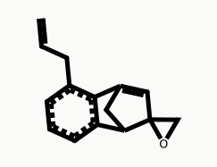 C=CCc1cccc2c1C1=CC3(CO3)C2C1